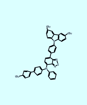 CC(C)(C)c1ccc(-c2ccc(N(c3ccccc3)c3ccc(-c4ccc(-n5c6ccc(C(C)(C)C)cc6c6cc(C(C)(C)C)ccc65)cc4)c4nsnc34)cc2)cc1